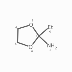 CCC1(N)OCCO1